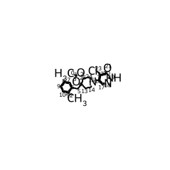 CC(=O)OC1(Cc2ccccc2C)CCN(c2cn[nH]c(=O)c2Cl)CC1